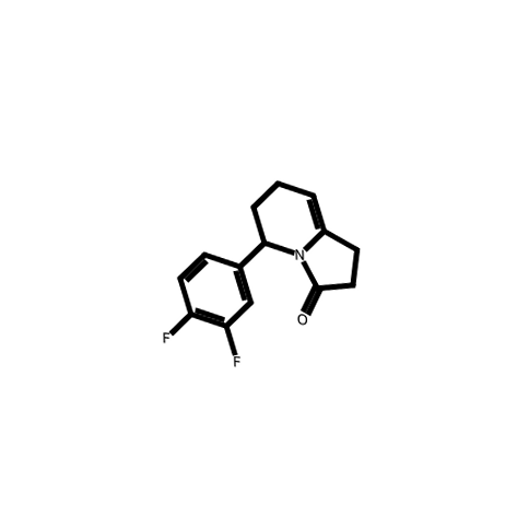 O=C1CCC2=CCCC(c3ccc(F)c(F)c3)N12